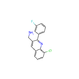 NCc1cc2cccc(Cl)c2nc1-c1cccc(F)c1